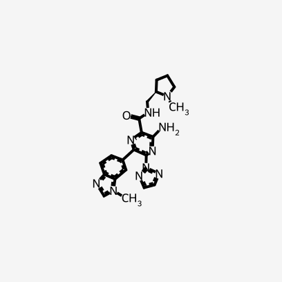 CN1CCC[C@@H]1CNC(=O)c1nc(-c2ccc3ncn(C)c3c2)c(-n2nccn2)nc1N